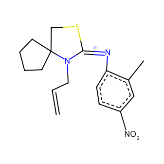 C=CCN1/C(=N\c2ccc([N+](=O)[O-])cc2C)SCC12CCCC2